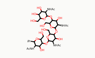 CC(=O)NC1C(OC2C(CO)OC(OC3C(CO)OC(OC4C(CO)OC(C(C)C)C(NC(C)=O)C4O)C(NC(C)=O)C3O)C(NC(C)=O)C2O)OC(CO)C(O)C1O